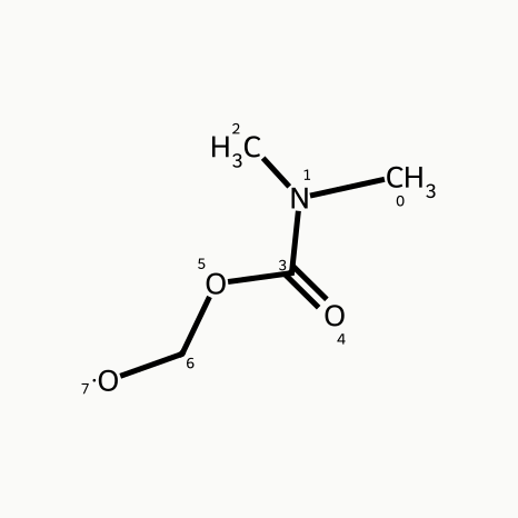 CN(C)C(=O)OC[O]